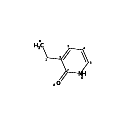 CCc1ccc[nH]c1=O